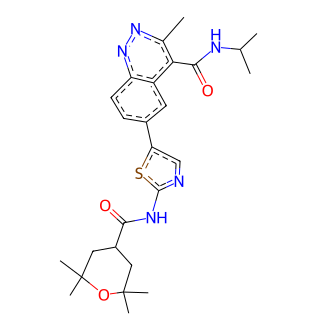 Cc1nnc2ccc(-c3cnc(NC(=O)C4CC(C)(C)OC(C)(C)C4)s3)cc2c1C(=O)NC(C)C